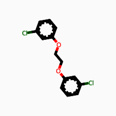 Clc1cccc(OCCOc2cccc(Cl)c2)c1